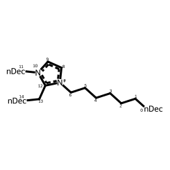 CCCCCCCCCCCCCCCC[n+]1ccn(CCCCCCCCCC)c1CCCCCCCCCCC